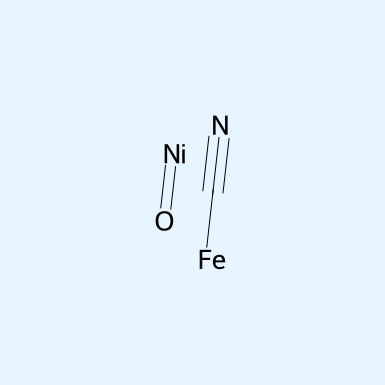 N#[C][Fe].[O]=[Ni]